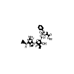 C=C[C@@]1(F)[C@H](O)[C@@H](CO[P@@](=O)(NC(C)C(=O)OC(C)C)Oc2ccccc2)O[C@H]1n1cnc2c(NC3CC3)nc(N)nc21